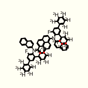 [2H]c1c([2H])c([2H])c(-c2cc(F)c(N(c3ccc4ccccc4c3)c3ccc4ccc5c(N(c6ccc7ccccc7c6)c6c(F)cc(-c7c([2H])c([2H])c([2H])c([2H])c7[2H])cc6-c6c([2H])c([2H])c([2H])c([2H])c6[2H])ccc6ccc3c4c65)c(-c3c([2H])c([2H])c([2H])c([2H])c3[2H])c2)c([2H])c1[2H]